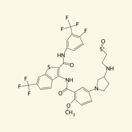 COc1ccc(N2CCC(NCC[S+]=O)C2)cc1C(=O)Nc1c(C(=O)Nc2ccc(F)c(C(F)(F)F)c2)sc2cc(C(F)(F)F)ccc12